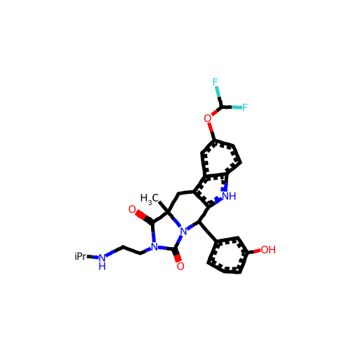 CC(C)NCCN1C(=O)N2C(c3cccc(O)c3)c3[nH]c4ccc(OC(F)F)cc4c3CC2(C)C1=O